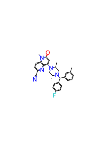 Cc1cccc(C(c2ccc(F)cc2)N2C[C@H](C)N(c3cc(=O)n(C)c4ccc(C#N)nc34)C[C@H]2C)c1